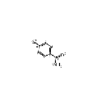 NC(=O)c1ccc([S])cc1